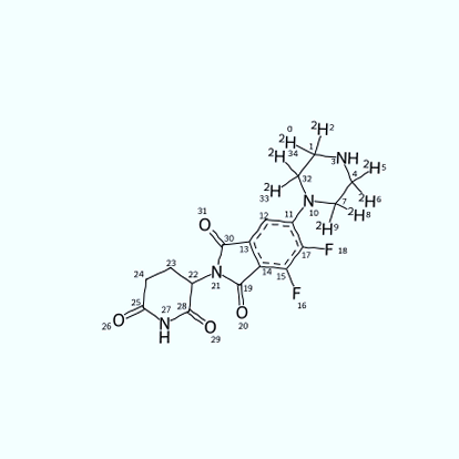 [2H]C1([2H])NC([2H])([2H])C([2H])([2H])N(c2cc3c(c(F)c2F)C(=O)N(C2CCC(=O)NC2=O)C3=O)C1([2H])[2H]